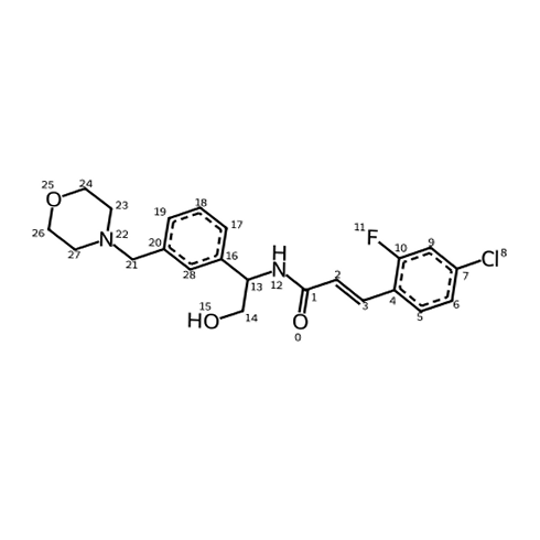 O=C(C=Cc1ccc(Cl)cc1F)NC(CO)c1cccc(CN2CCOCC2)c1